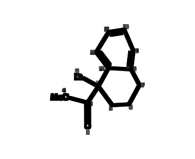 CCC1(C(=O)OC)CCCc2ccccc21